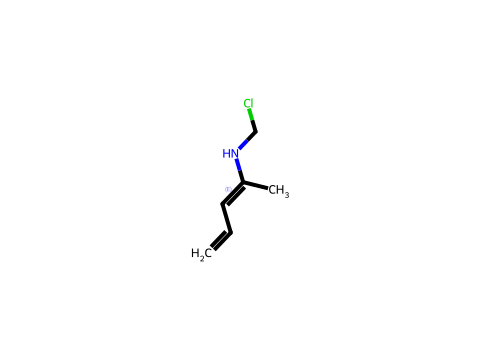 C=C/C=C(\C)NCCl